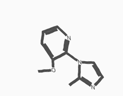 COc1cccnc1-n1ccnc1C